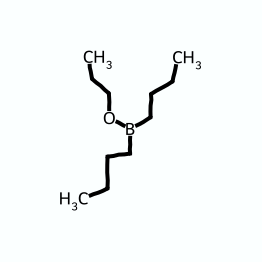 CCCCB(CCCC)OCCC